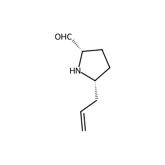 C=CC[C@H]1CC[C@@H](C=O)N1